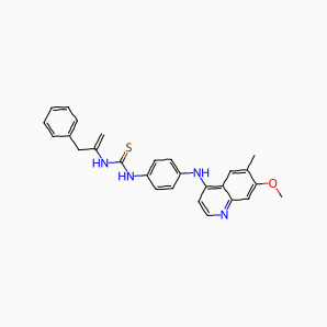 C=C(Cc1ccccc1)NC(=S)Nc1ccc(Nc2ccnc3cc(OC)c(C)cc23)cc1